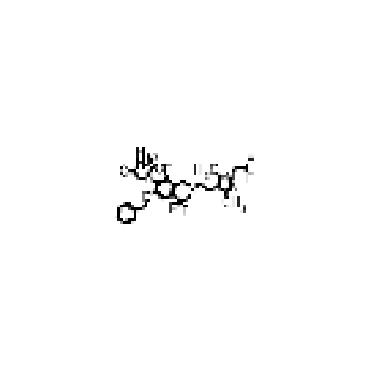 Cc1nn(CC(F)F)c(C)c1CCN1Cc2c(cc(OCc3ccccc3)c(N3CC(=O)NS3(=O)=O)c2F)C(F)(F)C1